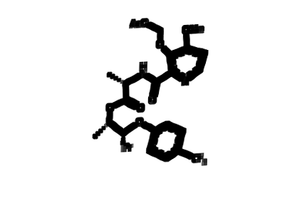 COc1ccnc(C(=O)N[C@@H](C)C(=O)O[C@@H](C)[C@H](Oc2ccc(C(F)(F)F)cc2)C(C)C)c1OCOC(C)=O